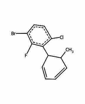 CC1C=CC=CC1c1c(Cl)ccc(Br)c1F